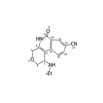 CCNC1COCc2[nH]c(=O)c3cc(C#N)ccc3c21